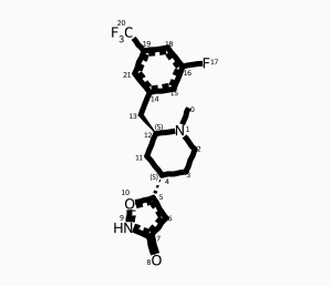 CN1CC[C@H](c2cc(=O)[nH]o2)C[C@H]1Cc1cc(F)cc(C(F)(F)F)c1